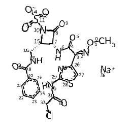 CO/N=C(\C(=O)N[C@H]1C(=O)N(S(=O)(=O)[O-])[C@H]1CNC(=O)c1ccccc1)c1csc(NC(=O)CCl)n1.[Na+]